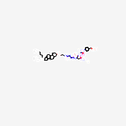 CC(C)CCCC(C)[C@H]1CC[C@H]2[C@@H]3CC=C4C[C@@H](OCCCNC(=O)CCC(=O)NC(CC(N)=O)C(=O)NCC(=O)Nc5ccc(CO)cc5)CC[C@]4(C)[C@H]3CC[C@]12C